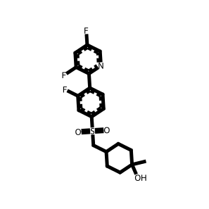 CC1(O)CCC(CS(=O)(=O)c2ccc(-c3ncc(F)cc3F)c(F)c2)CC1